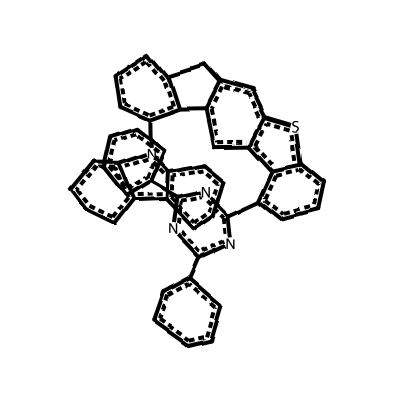 c1ccc(-c2nc(-c3ccccc3)nc(-c3cccc4sc5cc6c(cc5c34)-c3c(cccc3-n3c4ccccc4c4ccccc43)C6)n2)cc1